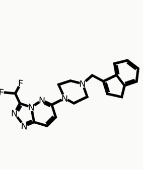 FC(F)c1nnc2ccc(N3CCN(CC4=CCc5ccccc54)CC3)nn12